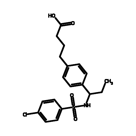 CCC(NS(=O)(=O)c1ccc(Cl)cc1)c1ccc(CCCC(=O)O)cc1